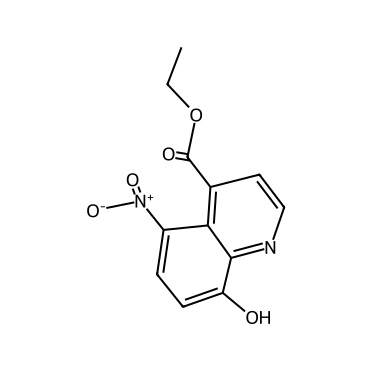 CCOC(=O)c1ccnc2c(O)ccc([N+](=O)[O-])c12